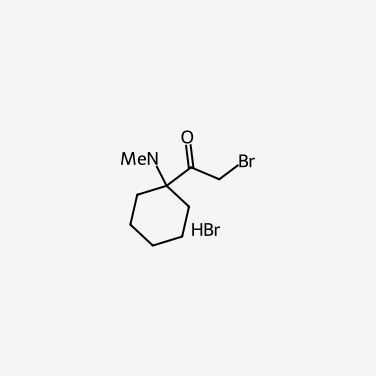 Br.CNC1(C(=O)CBr)CCCCC1